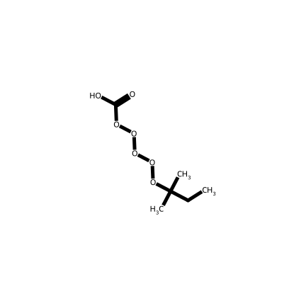 CCC(C)(C)OOOOOC(=O)O